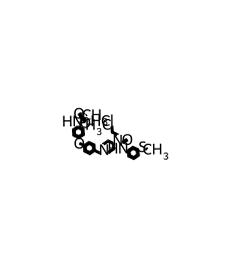 CCCCN(C(=O)Nc1cccc(SC)c1)C1CCN(Cc2ccc(Oc3ccc(NS(C)(=O)=O)cc3)cc2)CC1.Cl